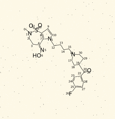 CN1CC/C(=N\O)c2c(ccn2CCCCN2CCC(C(=O)c3ccc(F)cc3)CC2)S1(=O)=O